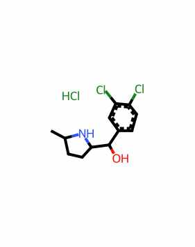 CC1CCC(C(O)c2ccc(Cl)c(Cl)c2)N1.Cl